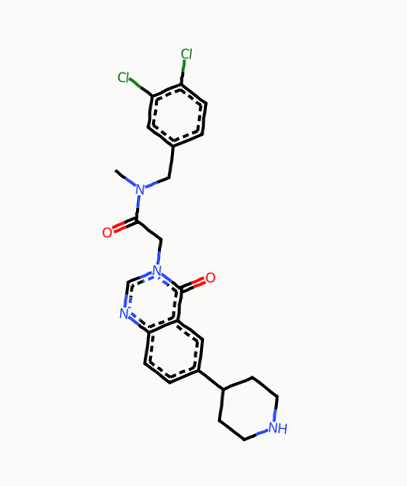 CN(Cc1ccc(Cl)c(Cl)c1)C(=O)Cn1cnc2ccc(C3CCNCC3)cc2c1=O